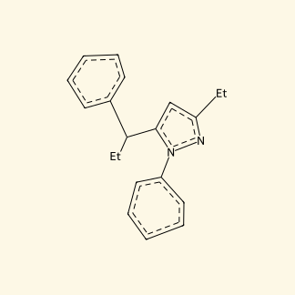 [CH2]CC(c1ccccc1)c1cc(CC)nn1-c1ccccc1